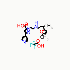 Cc1ccc(C(C)CCNCCn2nc(-c3ccncc3)cc2C(=O)O)o1.O=C(O)C(F)(F)F